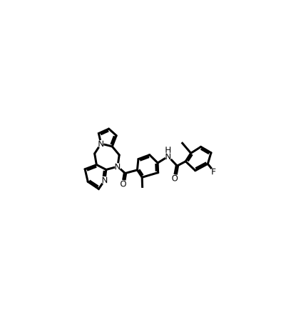 Cc1ccc(F)cc1C(=O)Nc1ccc(C(=O)N2Cc3cccn3Cc3cccnc32)c(C)c1